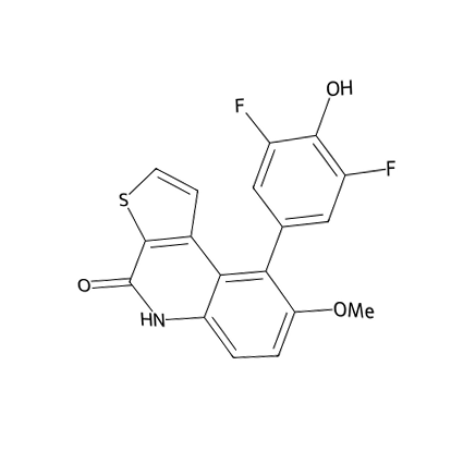 COc1ccc2[nH]c(=O)c3sccc3c2c1-c1cc(F)c(O)c(F)c1